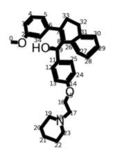 COc1cccc(C2=C(C(O)c3ccc(OCCN4CCCCC4)cc3)c3ccccc3CC2)c1